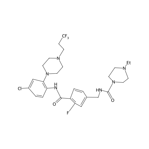 CCN1CCN(C(=O)NCc2ccc(C(=O)Nc3ccc(Cl)cc3N3CCN(CCC(F)(F)F)CC3)c(F)c2)CC1